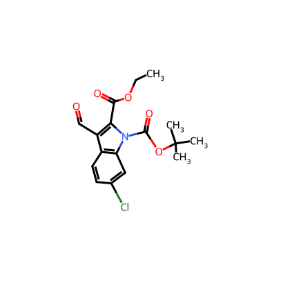 CCOC(=O)c1c(C=O)c2ccc(Cl)cc2n1C(=O)OC(C)(C)C